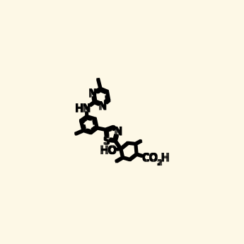 Cc1cc(Nc2nccc(C)n2)cc(-c2cnc(C3(O)CC(C)C(C(=O)O)CC3C)s2)c1